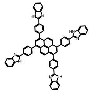 C1=CC2C(c3ccc(-c4nc5ccccc5[nH]4)cc3)=CC(c3ccc(-c4nc5ccccc5[nH]4)cc3)=c3ccc4c(c32)C1C(c1ccc(-c2nc3ccccc3[nH]2)cc1)=CC=4c1ccc(-c2nc3ccccc3[nH]2)cc1